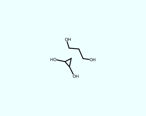 OC1CC1O.OCCCO